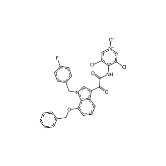 O=C(Nc1c(Cl)c[n+]([O-])cc1Cl)C(=O)c1cn(Cc2ccc(F)cc2)c2c(OCc3ccccc3)cccc12